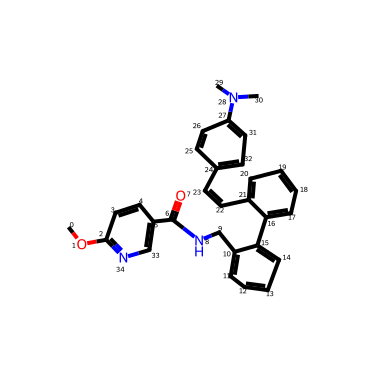 COc1ccc(C(=O)NCc2ccccc2-c2ccccc2C=Cc2ccc(N(C)C)cc2)cn1